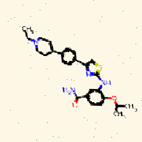 CCN1CC=C(c2ccc(-c3csc(Nc4cc(C(N)=O)ccc4OC(C)C)n3)cc2)CC1